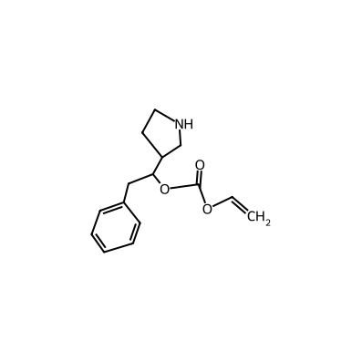 C=COC(=O)OC(Cc1ccccc1)C1CCNC1